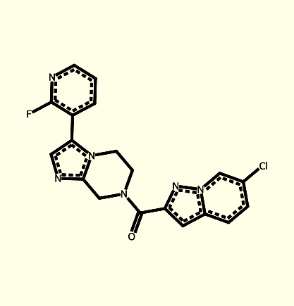 O=C(c1cc2ccc(Cl)cn2n1)N1CCn2c(-c3cccnc3F)cnc2C1